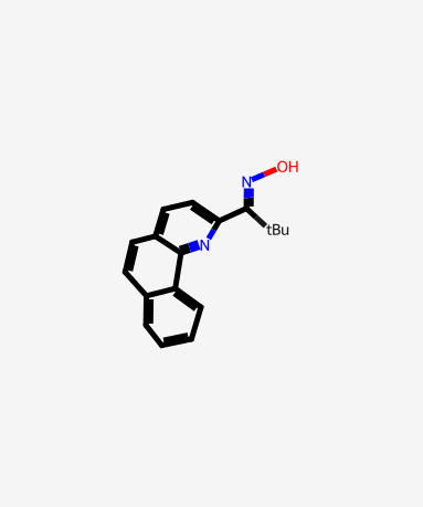 CC(C)(C)/C(=N\O)c1ccc2ccc3ccccc3c2n1